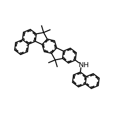 CC1(C)c2cc(Nc3cccc4ccccc34)ccc2-c2cc3c(cc21)-c1c(ccc2ccccc12)C3(C)C